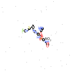 CC1(C)CCC(CN2CCN(c3ccc(C(=O)NS(=O)(=O)c4ccc(NCC5COCCO5)c([N+](=O)[O-])c4)c(Oc4cnc5[nH]ccc5c4)c3)CC2)=C(c2cc(CN3CCC(F)(F)CC3)cs2)C1